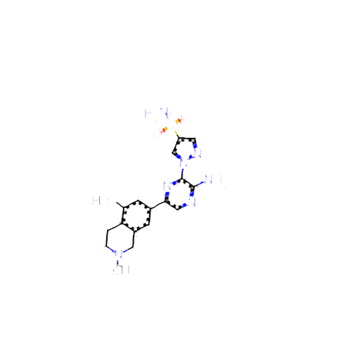 Cc1cc(-c2cnc(N)c(-n3cc(S(N)(=O)=O)cn3)n2)cc2c1CCN(C)C2